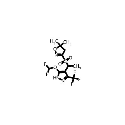 CC(c1c(C(F)(F)F)n[nH]c1OC(F)F)S(=O)(=O)C1=NOC(C)(C)C1